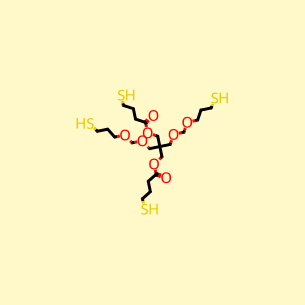 O=C(CCCS)OCC(COCOCCCS)(COCOCCCS)COC(=O)CCCS